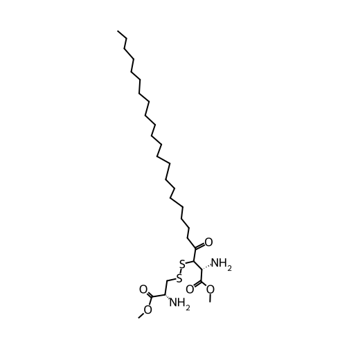 CCCCCCCCCCCCCCCCCCCCCC(=O)C(SSC[C@H](N)C(=O)OC)[C@H](N)C(=O)OC